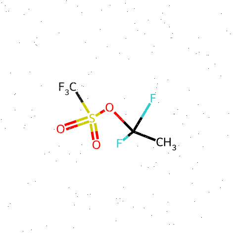 CC(F)(F)OS(=O)(=O)C(F)(F)F